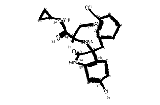 CC(C)CC(C)(NC1(Cc2cccc(Cl)c2)C(=O)Nc2cc(Cl)ccc21)C(=O)NC1CC1